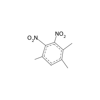 Cc1cc(C)c([N+](=O)[O-])c([N+](=O)[O-])c1C